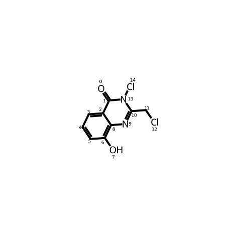 O=c1c2cccc(O)c2nc(CCl)n1Cl